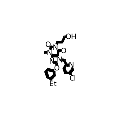 CCc1cccc(Oc2nc3c(c(=O)n(CCCO)c(=O)n3C)n2Cc2ccc(Cl)cn2)c1